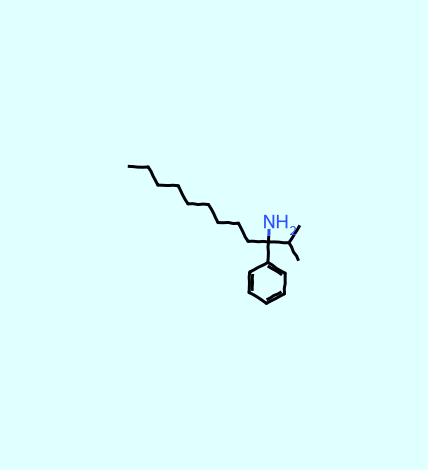 CCCCCCCCCC(N)(c1ccccc1)C(C)C